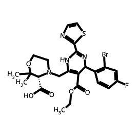 CCOC(=O)C1=C(CN2CCOC(C)(C)[C@H]2C(=O)O)NC(c2nccs2)=NC1c1ccc(F)cc1Br